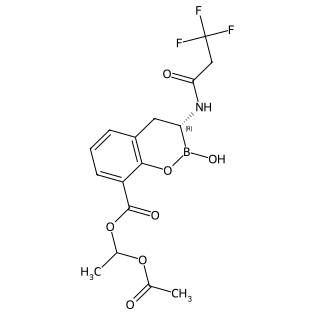 CC(=O)OC(C)OC(=O)c1cccc2c1OB(O)[C@@H](NC(=O)CC(F)(F)F)C2